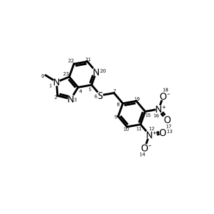 Cn1cnc2c(SCc3ccc([N+](=O)[O-])c([N+](=O)[O-])c3)nccc21